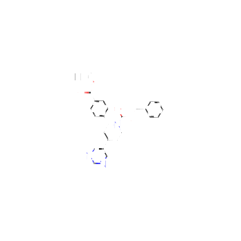 COC(=O)c1ccc([C@@H]2C=C(c3cncnc3)CCN2C(=O)OCc2ccccc2)cc1